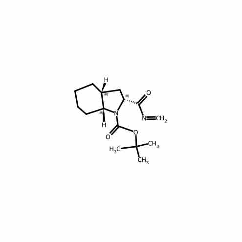 C=NC(=O)[C@H]1C[C@H]2CCCC[C@H]2N1C(=O)OC(C)(C)C